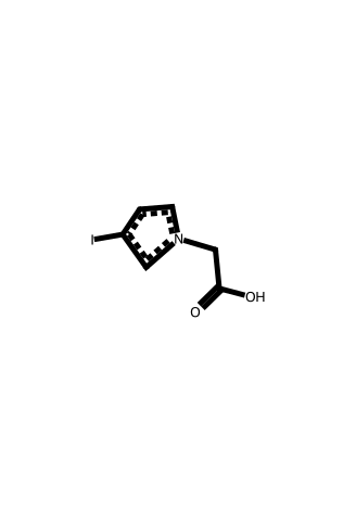 O=C(O)Cn1ccc(I)c1